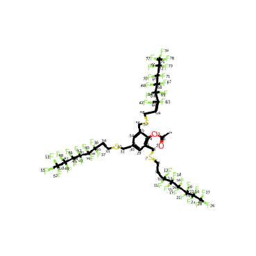 CC(=O)Oc1c(CSCCC(F)(F)C(F)(F)C(F)(F)C(F)(F)C(F)(F)C(F)(F)F)cc(CSCCC(F)(F)C(F)(F)C(F)(F)C(F)(F)C(F)(F)C(F)(F)F)cc1CSCCC(F)(F)C(F)(F)C(F)(F)C(F)(F)C(F)(F)C(F)(F)F